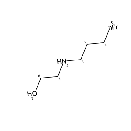 [CH2]CCCCCNCCO